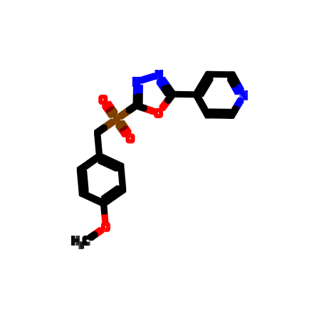 COc1ccc(CS(=O)(=O)c2nnc(-c3ccncc3)o2)cc1